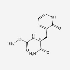 CC(C)(C)OC(=O)N[C@@H](Cc1ccc[nH]c1=O)C(N)=O